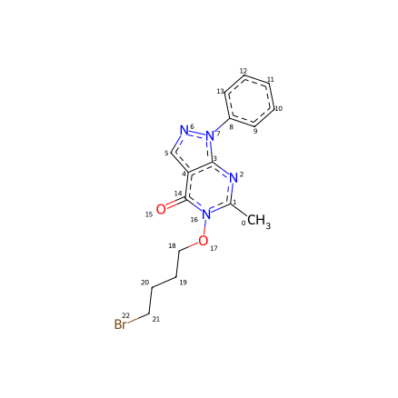 Cc1nc2c(cnn2-c2ccccc2)c(=O)n1OCCCCBr